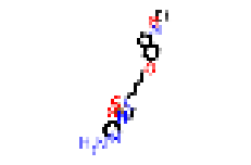 CCO/N=C1\CCc2cc(OCCCCCN3CCN(c4ccc(N)nc4)S3(=O)=O)ccc21